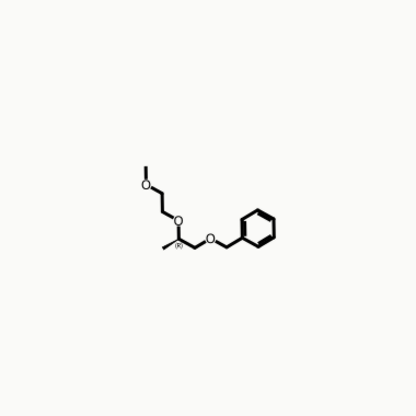 COCCO[C@H](C)COCc1ccccc1